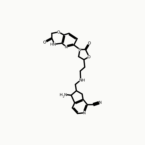 N#Cc1nccc2c1CC(CNCCC1CN(c3ccc4c(n3)NC(=O)CO4)C(=O)O1)C2N